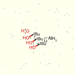 CC(C)(C)O.CC(C)(C)O.CC(C)(C)O.O.[AlH3].[Li]